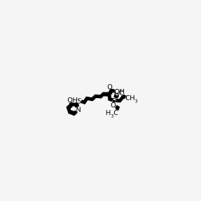 CCOP(=O)(CC(=CCCCCCSc1ncccc1O)C(=O)O)CC(C)C